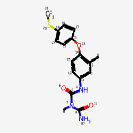 Cc1cc(NC(=O)N(C)C(N)=O)ccc1Oc1ccc(SC(F)(F)F)cc1